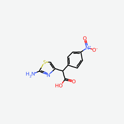 Nc1nc(C(C(=O)O)c2ccc([N+](=O)[O-])cc2)cs1